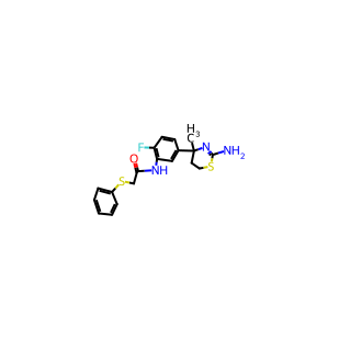 CC1(c2ccc(F)c(NC(=O)CSc3ccccc3)c2)CCSC(N)=N1